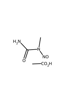 CC(=O)O.CN(N=O)C(N)=O